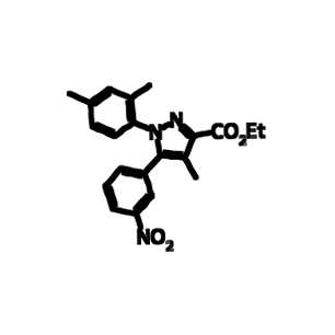 CCOC(=O)c1nn(-c2ccc(C)cc2C)c(-c2cccc([N+](=O)[O-])c2)c1C